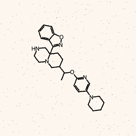 CC(Oc1ccc(N2CCCCC2)cn1)C1CCC2(c3noc4ccccc34)CNCCN2C1